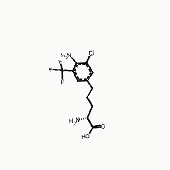 Nc1c(Cl)cc(CCC[C@@H](N)C(=O)O)cc1C(F)(F)F